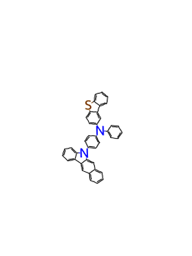 c1ccc(N(c2ccc(-n3c4ccccc4c4cc5ccccc5cc43)cc2)c2ccc3sc4ccccc4c3c2)cc1